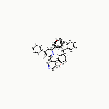 Cc1c(-c2ccccc2)cc(-c2ccccc2)nc1-c1cncc2oc3ccc(C4c5ccccc5-c5ccccc54)cc3c12